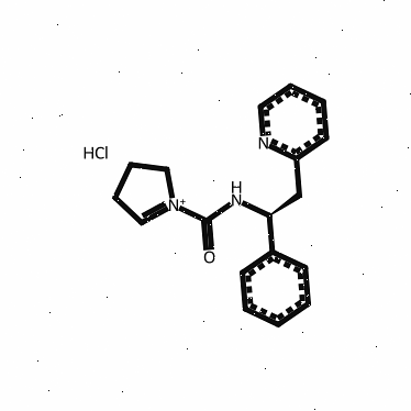 Cl.O=C(N[C@@H](Cc1ccccn1)c1ccccc1)[N+]1=CCCC1